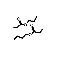 CCCCOC(=O)CC.CCCOC(=O)CC